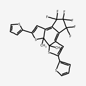 CC12SC(c3cccs3)=CC1=C1C(=C3C=C(c4cccs4)SC32C)C(F)(F)C(F)(F)C1(F)F